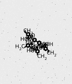 C=Cc1ccc(C(=O)Nc2ccc(-c3ccc(NC(=O)c4ccc(C=C)cc4C(=O)O)c(NC(=O)c4ccc(C=C)cc4C(=O)O)c3)cc2NC(=O)c2ccc(C=C)cc2C(=O)O)c(C(=O)O)c1